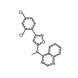 CN(c1cc(-c2ccc(Cl)cc2Cl)no1)c1ncnc2ccccc12